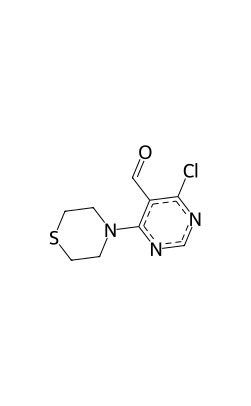 O=Cc1c(Cl)ncnc1N1CCSCC1